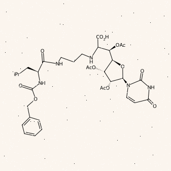 CC(=O)O[C@H]1[C@@H](OC(C)=O)[C@H](n2ccc(=O)[nH]c2=O)O[C@@H]1[C@H](OC(C)=O)C(NCCCNC(=O)[C@H](CC(C)C)NC(=O)OCc1ccccc1)C(=O)O